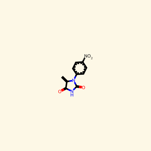 C=C1C(=O)NC(=O)N1c1ccc([N+](=O)[O-])cc1